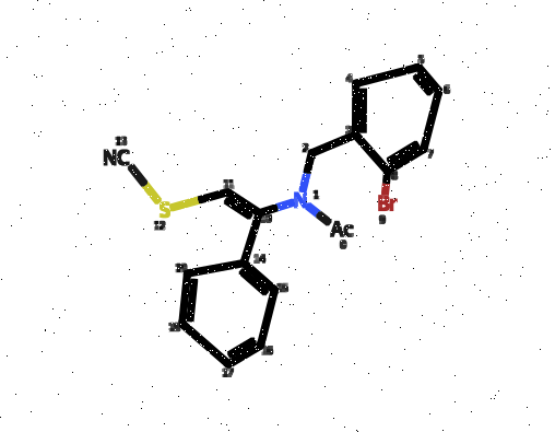 CC(=O)N(Cc1ccccc1Br)/C(=C/SC#N)c1ccccc1